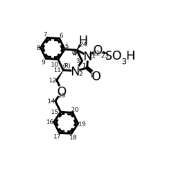 O=C1N2C[C@H](c3ccccc3[C@@H]2COCc2ccccc2)N1OS(=O)(=O)O